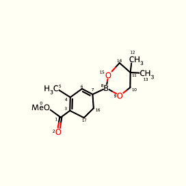 COC(=O)C1=C(C)C=C(B2OCC(C)(C)CO2)CC1